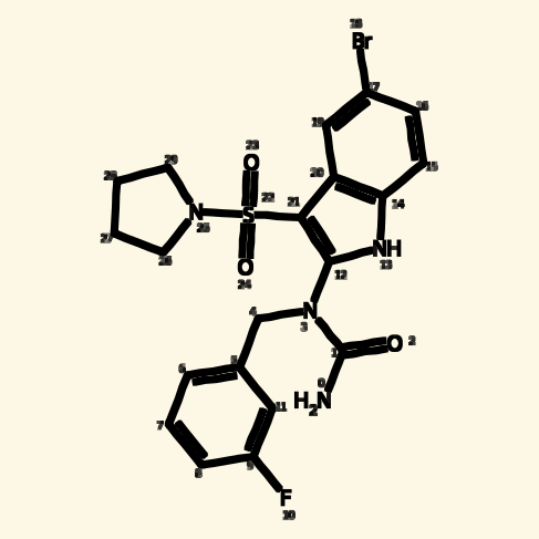 NC(=O)N(Cc1cccc(F)c1)c1[nH]c2ccc(Br)cc2c1S(=O)(=O)N1CCCC1